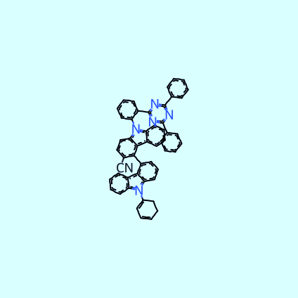 N#Cc1ccc2c(c1-c1cccc3c1c1ccccc1n3C1=CC=CCC1)c1ccccc1n2-c1ccccc1-c1nc(-c2ccccc2)nc(-c2ccccc2)n1